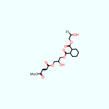 CCC(O)COC(=O)C1CCCCC1C(=O)OCC(O)COC(=O)/C=C/C(=O)OC